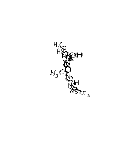 C=CC(=O)Nc1ccc(C2(O)CC2n2c(C#N)cc3c(C)c(CN4CCC(Nc5ncnc6sc(CC(F)(F)F)cc56)CC4)ccc32)cn1